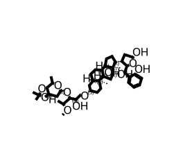 COC(C)C(O[C@H]1C[C@H]2OC(C)(C)OC2C(C)O1)[C@H](O)CO[C@H]1CC[C@@]2(C)[C@H](CC[C@@H]3[C@@H]2C[C@@H](O)[C@]2(C)[C@@H](C4CC(O)OC4Cc4ccccc4O)CC[C@]32O)C1